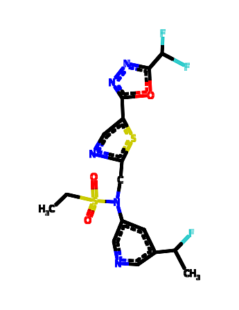 CCS(=O)(=O)N(Cc1ncc(-c2nnc(C(F)F)o2)s1)c1cncc(C(C)F)c1